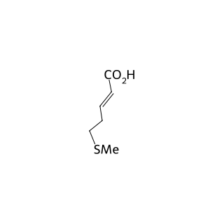 CSCCC=CC(=O)O